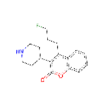 O=c1oc2ccccc2c(CCCF)c1C1CCNCC1